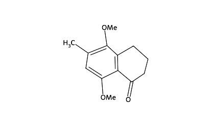 COc1cc(C)c(OC)c2c1C(=O)CCC2